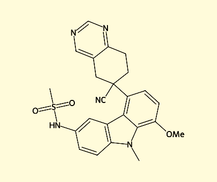 COc1ccc(C2(C#N)CCc3ncncc3C2)c2c3cc(NS(C)(=O)=O)ccc3n(C)c12